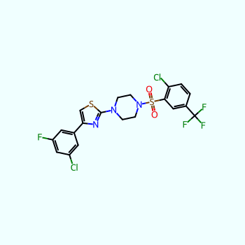 O=S(=O)(c1cc(C(F)(F)F)ccc1Cl)N1CCN(c2nc(-c3cc(F)cc(Cl)c3)cs2)CC1